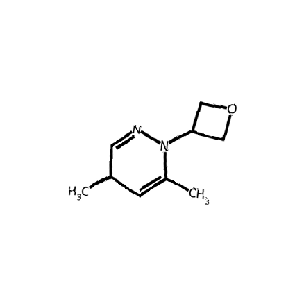 CC1=CC(C)C=NN1C1COC1